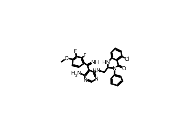 COc1ccc(C(=N)c2c(N)ncnc2NCC2Nc3cccc(Cl)c3C(=O)N2c2ccccc2)c(F)c1F